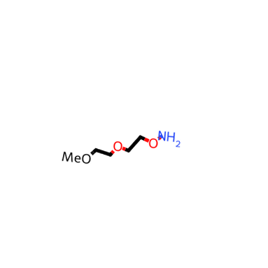 COCCOCCON